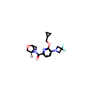 O=C(c1ccc(N2CC(F)(F)C2)c(OCC2CC2)n1)N1CC2C[C@H]1CO2